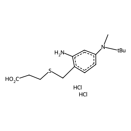 CN(c1ccc(CSCCC(=O)O)c(N)c1)C(C)(C)C.Cl.Cl